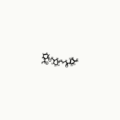 CC(=O)c1ccccc1OCC1CCCN(CCCC(=O)c2ccc(F)cc2)C1